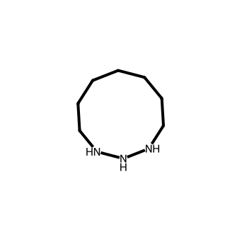 C1CCCNNNCCC1